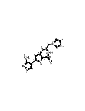 Cc1[nH]ncc1-c1cc2nc(Cn3ccnc3)[nH]c(=O)c2s1